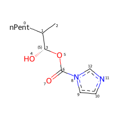 CCCCCC(C)[C@@H](O)OC(=O)n1ccnc1